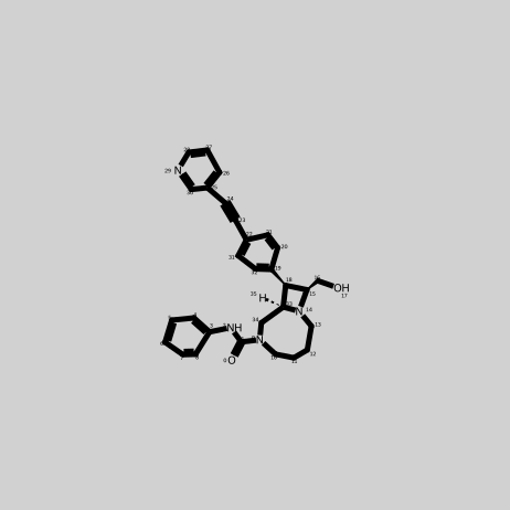 O=C(Nc1ccccc1)N1CCCCN2[C@H](CO)[C@H](c3ccc(C#Cc4cccnc4)cc3)[C@@H]2C1